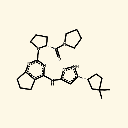 CC1(C)CC[C@@H](c2cc(Nc3nc(N4CCC[C@@H]4C(=O)N4CCCC4)nc4c3CCC4)n[nH]2)C1